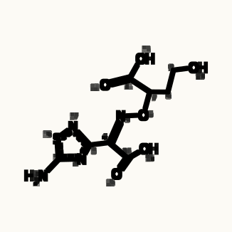 Nc1nc(/C(=N/OC(CCO)C(=O)O)C(=O)O)ns1